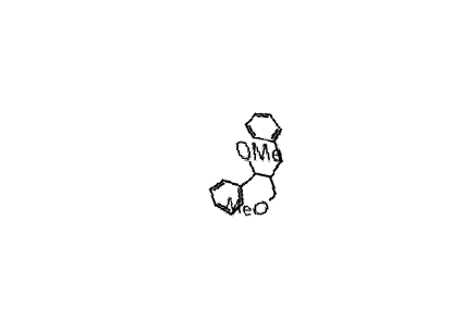 COCC(Cc1ccccc1)C(OC)c1ccccc1